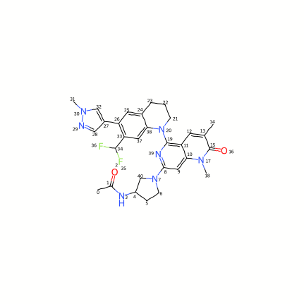 CC(=O)NC1CCN(c2cc3c(cc(C)c(=O)n3C)c(N3CCCc4cc(-c5cnn(C)c5)c(C(F)F)cc43)n2)C1